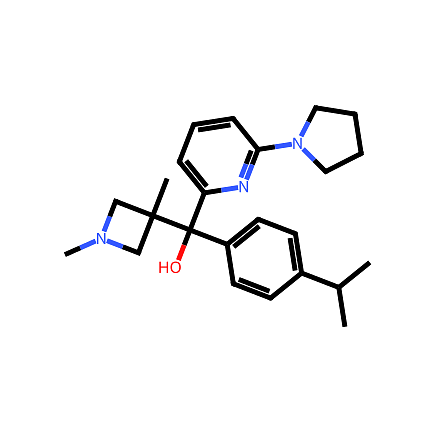 CC(C)c1ccc(C(O)(c2cccc(N3CCCC3)n2)C2(C)CN(C)C2)cc1